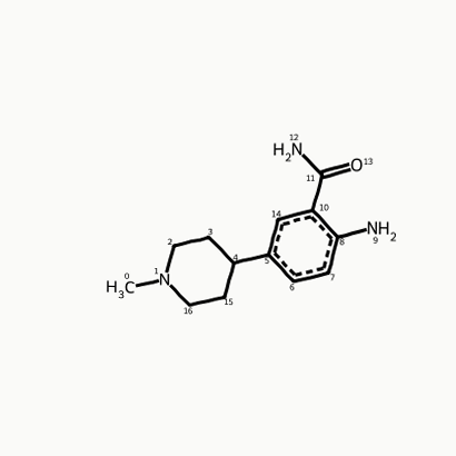 CN1CCC(c2ccc(N)c(C(N)=O)c2)CC1